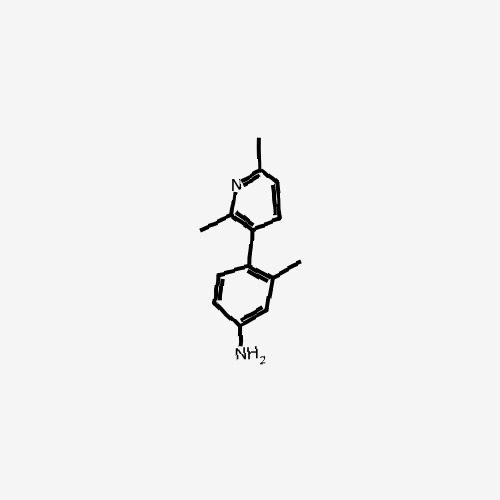 Cc1ccc(-c2ccc(N)cc2C)c(C)n1